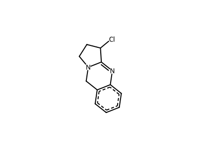 ClC1CCN2Cc3ccccc3N=C12